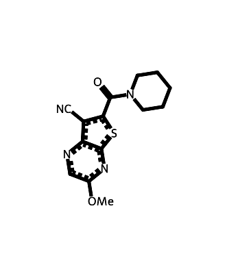 COc1cnc2c(C#N)c(C(=O)N3CCCCC3)sc2n1